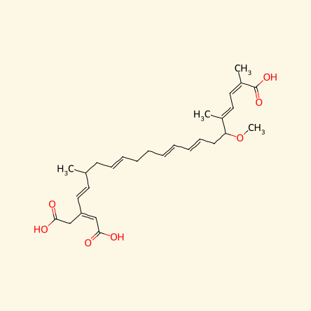 COC(CC=CC=CCCC=CCC(C)C=CC(=CC(=O)O)CC(=O)O)C(C)=CC=C(C)C(=O)O